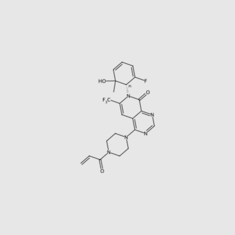 C=CC(=O)N1CCN(c2ncnc3c(=O)n([C@H]4C(F)=CC=CC4(C)O)c(C(F)(F)F)cc23)CC1